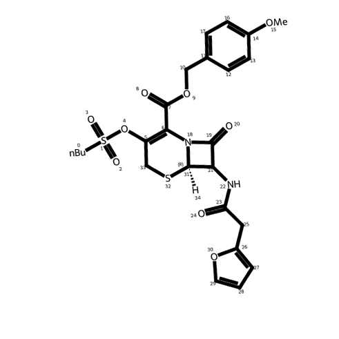 CCCCS(=O)(=O)OC1=C(C(=O)OCc2ccc(OC)cc2)N2C(=O)C(NC(=O)Cc3ccco3)[C@H]2SC1